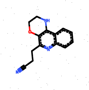 N#CCCc1nc2ccccc2c2c1OCCN2